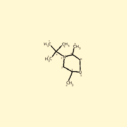 CC1CN(C(C)(C)C)C(C)CO1